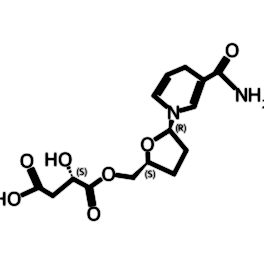 NC(=O)C1=CN([C@H]2CC[C@@H](COC(=O)[C@@H](O)CC(=O)O)O2)C=CC1